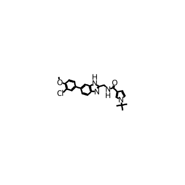 COc1ccc(-c2ccc3nc(CNC(=O)c4ccn(C(C)(C)C)c4)[nH]c3c2)cc1Cl